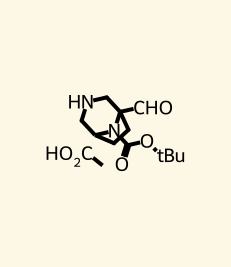 CC(=O)O.CC(C)(C)OC(=O)N1C2CCC1(C=O)CNC2